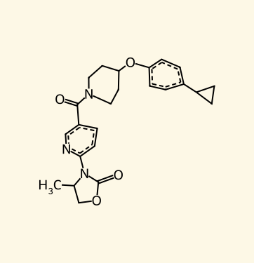 CC1COC(=O)N1c1ccc(C(=O)N2CCC(Oc3ccc(C4CC4)cc3)CC2)cn1